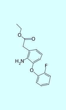 CCOC(=O)Cc1cccc(Oc2ccccc2F)c1N